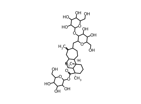 C=C1CC2CCC3[C@](C)(C(=O)OC4OC(CO)C(O)C(O)C4O)CCC[C@@]3(C)[C@@H]2CCC1CC1OC(CO)C(O)C(O)C1OC1OC(CO)C(O)C(O)C1O